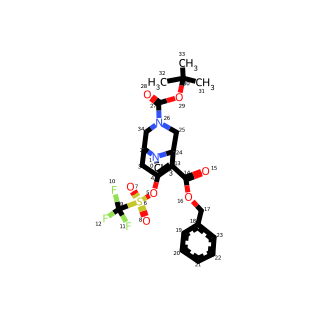 CN1C2CC(OS(=O)(=O)C(F)(F)F)=C(C(=O)OCc3ccccc3)C1CN(C(=O)OC(C)(C)C)C2